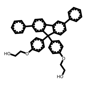 OCCOc1ccc(C2(c3ccc(OCCO)cc3)c3ccc(-c4ccccc4)cc3-c3ccc(-c4ccccc4)cc32)cc1